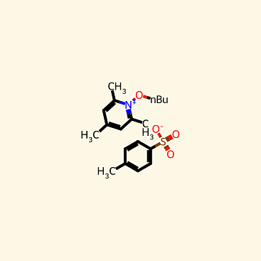 CCCCO[n+]1c(C)cc(C)cc1C.Cc1ccc(S(=O)(=O)[O-])cc1